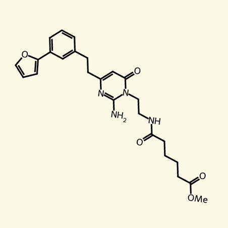 COC(=O)CCCCC(=O)NCCn1c(N)nc(CCc2cccc(-c3ccco3)c2)cc1=O